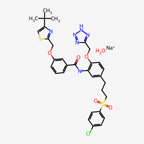 CC(C)(C)c1csc(COc2cccc(C(=O)[N-]c3cc(CCCS(=O)(=O)c4ccc(Cl)cc4)ccc3OCc3nn[nH]n3)c2)n1.O.[Na+]